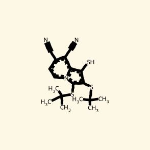 CC(C)(C)Sc1c(S)c2c(C#N)c(C#N)ccn2c1SC(C)(C)C